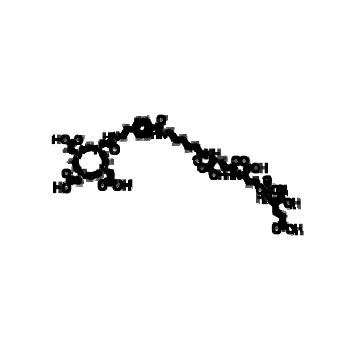 O=C(O)CCC(NP(=O)(O)OCCC(NC(=O)CC[C@@H](NC(=O)CCCCCNC(=O)c1ccc(CCNC(=O)CN2CCN(CC(=O)O)CCN(CC(=O)O)CCN(CC(=O)O)CC2)cc1)C(=O)O)C(=O)O)C(=O)O